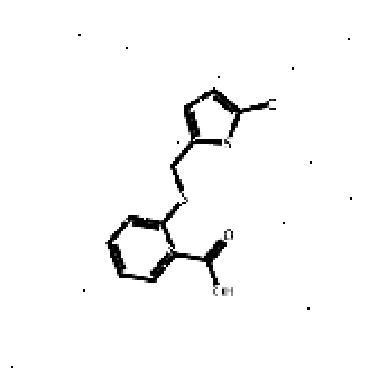 O=C(O)c1ccccc1SCc1ccc(Cl)s1